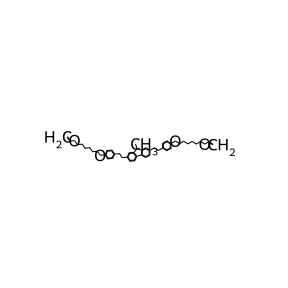 C=COCCCCCCOc1ccc(CCc2ccc3c(c2)C(C)c2cc(CCc4ccc(OCCCCCCOC=C)cc4)ccc2-3)cc1